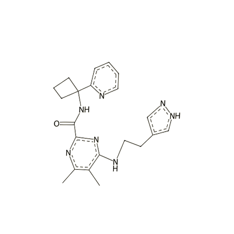 Cc1nc(C(=O)NC2(c3ccccn3)CCC2)nc(NCCc2cn[nH]c2)c1C